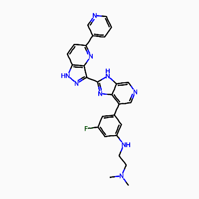 CN(C)CCNc1cc(F)cc(-c2cncc3[nH]c(-c4n[nH]c5ccc(-c6cccnc6)nc45)nc23)c1